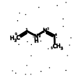 C=CN/N=C\C